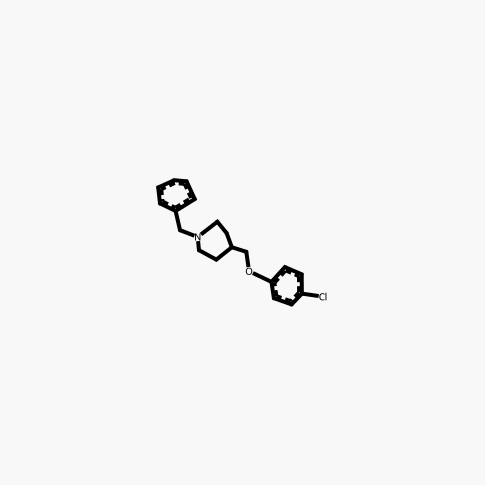 Clc1ccc(OCC2CCN(Cc3ccccc3)CC2)cc1